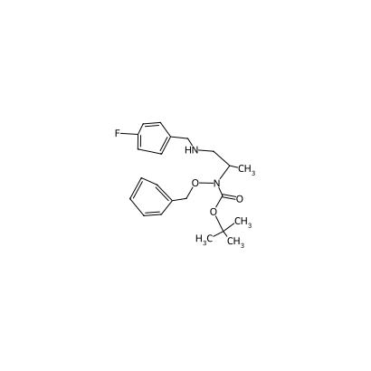 CC(CNCc1ccc(F)cc1)N(OCc1ccccc1)C(=O)OC(C)(C)C